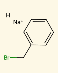 BrCc1ccccc1.[H-].[Na+]